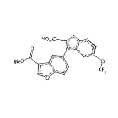 COC(=O)c1coc2ccc(-n3c(C(=O)O)cc4ccc(OC(F)(F)F)cc43)cc12